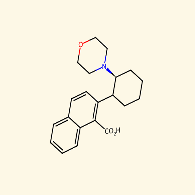 O=C(O)c1c(C2CCCC[C@@H]2N2CCOCC2)ccc2ccccc12